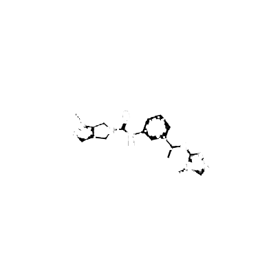 CC(Sc1nncn1C)c1cccc(NC(=O)N2Cc3cnn(C)c3C2)c1